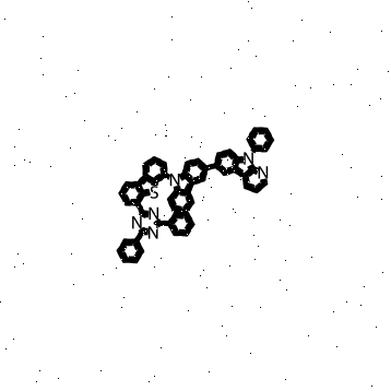 c1ccc(-c2nc(-c3ccccc3)nc(-c3cccc4c3sc3c(-n5c6ccccc6c6cc(-c7ccc8c(c7)c7cccnc7n8-c7ccccc7)ccc65)cccc34)n2)cc1